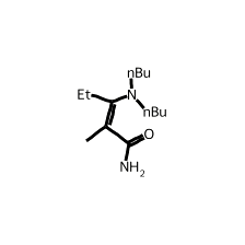 CCCCN(CCCC)C(CC)=C(C)C(N)=O